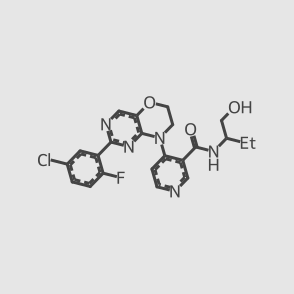 CCC(CO)NC(=O)c1cnccc1N1CCOc2cnc(-c3cc(Cl)ccc3F)nc21